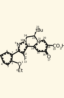 CCOc1ccccc1-c1nn2c(c1F)-c1cc(=O)c(C(=O)O)cn1[C@H](C(C)(C)C)C2